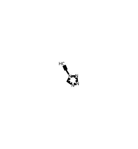 C#Cn1cnnn1